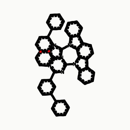 c1ccc(-c2cccc(-c3nc(-c4cccc(-c5ccccc5)c4)nc(-n4c5ccccc5c5ccc6c7ccccc7n(-c7nc8ccccc8s7)c6c54)n3)c2)cc1